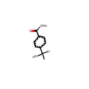 CCCC(C)(CC)c1ccc(C(=O)OC)cc1